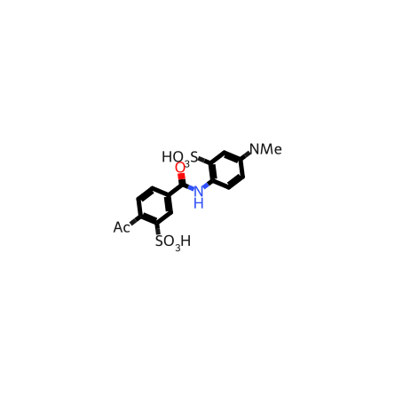 CNc1ccc(NC(=O)c2ccc(C(C)=O)c(S(=O)(=O)O)c2)c(S(=O)(=O)O)c1